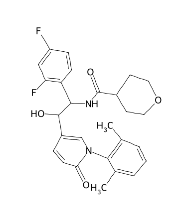 Cc1cccc(C)c1-n1cc(C(O)C(NC(=O)C2CCOCC2)c2ccc(F)cc2F)ccc1=O